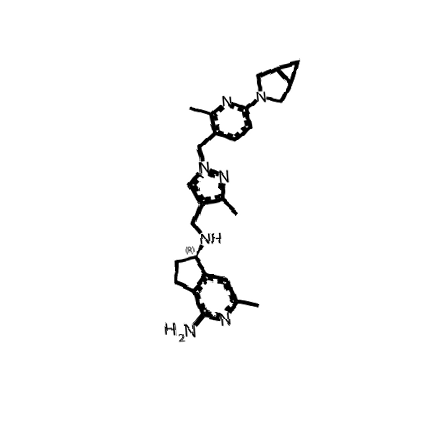 Cc1cc2c(c(N)n1)CC[C@H]2NCc1cn(Cc2ccc(N3CC4CC4C3)nc2C)nc1C